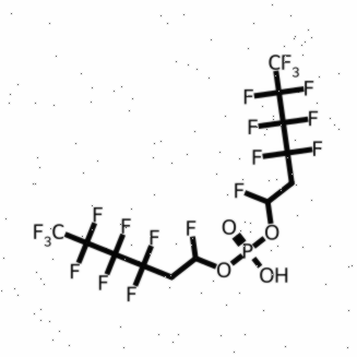 O=P(O)(OC(F)CC(F)(F)C(F)(F)C(F)(F)C(F)(F)F)OC(F)CC(F)(F)C(F)(F)C(F)(F)C(F)(F)F